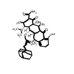 C[C@H]1c2cccc(O)c2C(=O)C2=C(O)[C@]3(O)C(=O)C(C(N)=O)=C(O)[C@@H](N(C)C)[C@@H]3[C@@H](OC(=O)CC34CC5CC(CC(C5)C3)C4)[C@@H]21